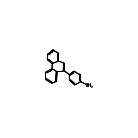 Bc1ccc(-c2cc3ccccc3c3ccccc23)cc1